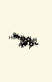 CCNc1cc(F)cc2c1[nH]c1ncc(-c3cnc(OCC(C)(C)C(=O)O)nc3)c(-n3ccc(C(F)(F)F)n3)c12